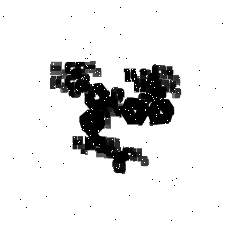 CC(=O)O.CC(C)(C)NS(=O)(=O)c1ccccc1-c1ccc(NC(=O)C2(Nc3cccc(C(=N)N)c3)CCN(C(=O)OC(C)(C)C)CC2)cc1